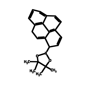 CC1(C)OB(C2C=Cc3ccc4cccc5c4c3C2=CC5)OC1(C)C